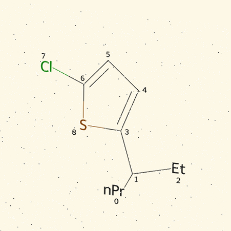 [CH2]CCC(CC)c1ccc(Cl)s1